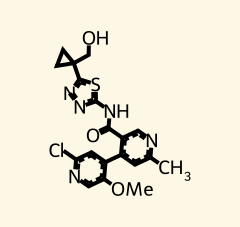 COc1cnc(Cl)cc1-c1cc(C)ncc1C(=O)Nc1nnc(C2(CO)CC2)s1